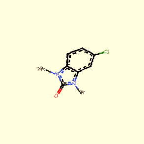 CCCn1c(=O)n(C(C)C)c2cc(Cl)ccc21